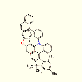 CC(C)(C)c1cc(C(C)(C)C)c2c(c1)C(C)(C)c1cccc(-c3ccccc3N(c3cccc(-c4cccc5ccccc45)c3)c3cccc4oc5ccccc5c34)c1-2